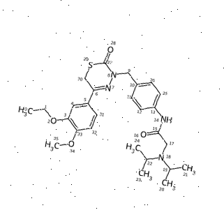 CCOc1cc(C2=NN(Cc3ccc(NC(=O)CN(C(C)C)C(C)C)cc3)C(=O)SC2)ccc1OC